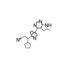 CC1Cc2c(ncnc2-c2cnc([C@H](CC#N)C3CCCC3)o2)N1